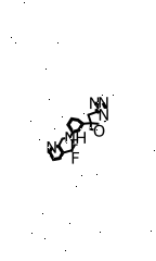 Cn1cnnc1CC1(c2cccc(NCc3ncccc3C(F)F)c2)COC1